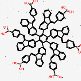 OB(O)c1ccc(/C=C2\c3ccccc3-c3ccc(-c4c(-c5ccc6c(c5)/C(=C/c5ccc(B(O)O)cc5)c5ccccc5-6)c(-c5ccc6c(c5)/C(=C/c5ccc(B(O)O)cc5)c5ccccc5-6)c(-c5ccc6c(c5)/C(=C/c5ccc(B(O)O)cc5)c5ccccc5-6)c(-c5ccc6c(c5)/C(=C/c5ccc(B(O)O)cc5)c5ccccc5-6)c4-c4ccc5c(c4)/C(=C/c4ccc(B(O)O)cc4)c4ccccc4-5)cc32)cc1